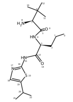 CCC[C@H](NC(=O)[C@@H](N)C(C)(C)C)C(=O)Nc1ncc(C(C)C)s1